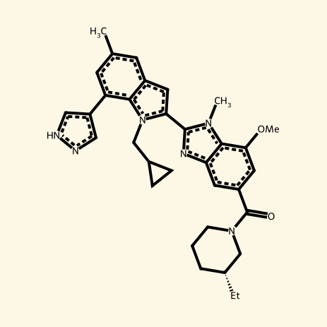 CC[C@@H]1CCCN(C(=O)c2cc(OC)c3c(c2)nc(-c2cc4cc(C)cc(-c5cn[nH]c5)c4n2CC2CC2)n3C)C1